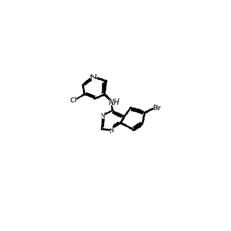 Clc1cncc(Nc2ncnc3ccc(Br)cc23)c1